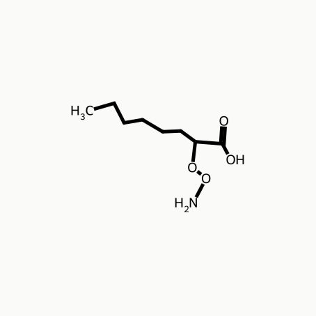 CCCCCCC(OON)C(=O)O